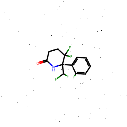 O=C1CCC(F)(F)C(c2ccccc2F)(C(F)F)N1